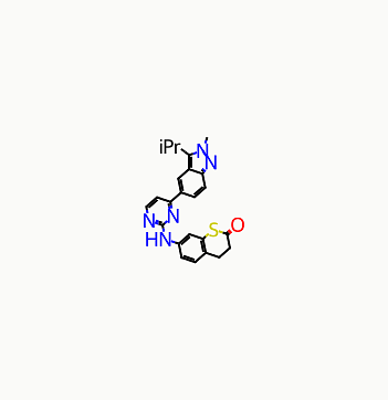 CC(C)c1c2cc(-c3ccnc(Nc4ccc5c(c4)SC(=O)CC5)n3)ccc2nn1C